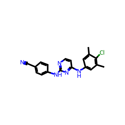 Cc1cc(Nc2ccnc(Nc3ccc(C#N)cc3)n2)cc(C)c1Cl